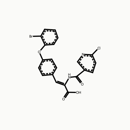 O=C(O)/C(=C/c1ccc(Oc2ccccc2Br)cc1)NC(=O)c1ccc(Cl)nc1